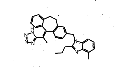 CCCc1nc2c(C)cccc2n1Cc1ccc2c(c1)CCc1ccccc1C2=C(C)c1nnn[nH]1